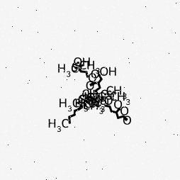 CCCCCC[Si](C)(C)O[Si](C)(C)O[Si](C)(CCCC(CC(=O)O)C(=O)OCCC[Si](C)(C)O)O[Si](C)(CCCC1CC(=O)OC1=O)O[Si](C)(C)C